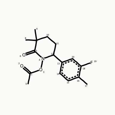 CC(=O)ON1C(=O)C(C)(C)CCC1c1ccc(C)c(F)c1